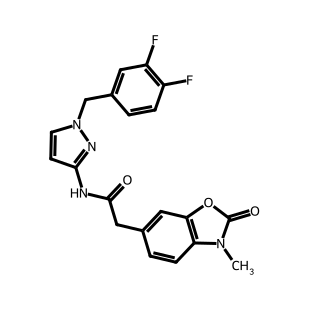 Cn1c(=O)oc2cc(CC(=O)Nc3ccn(Cc4ccc(F)c(F)c4)n3)ccc21